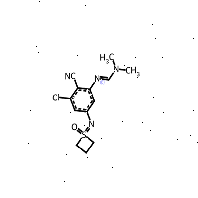 CN(C)/C=N/c1cc(N=S2(=O)CCC2)cc(Cl)c1C#N